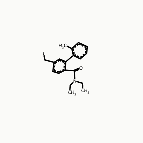 CCN(CC)C(=O)c1ccc(CI)cc1-c1ccccc1C